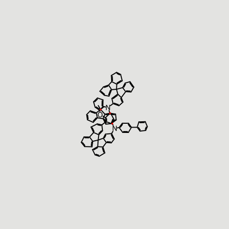 CC1(C)c2ccccc2-c2cc(N(c3ccc(-c4ccccc4)cc3)c3ccc4c(c3)C3(c5ccccc5-c5ccc(-c6cccc7c6Oc6ccccc6N7c6ccc7c(c6)C6(c8ccccc8-c8ccccc86)c6ccccc6-7)cc53)c3ccccc3-4)ccc21